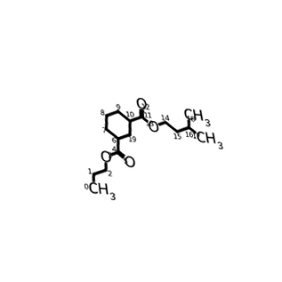 CCCOC(=O)C1CCCC(C(=O)OCCC(C)C)C1